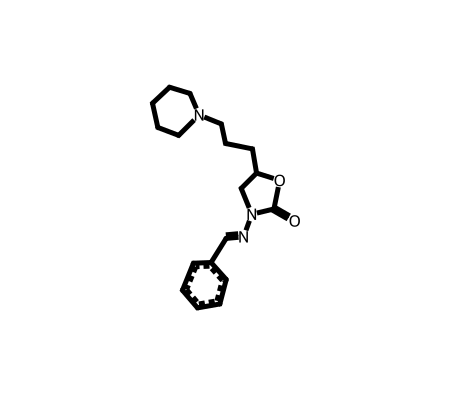 O=C1OC(CCCN2CCCCC2)CN1N=Cc1ccccc1